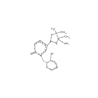 CC1(C)OB(c2ccc(=O)n(Cc3ccccc3S)c2)OC1(C)C